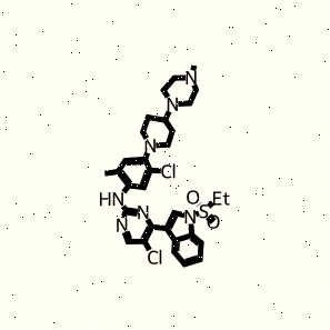 CCS(=O)(=O)n1cc(-c2nc(Nc3cc(Cl)c(N4CCC(N5CCN(C)CC5)CC4)cc3C)ncc2Cl)c2ccccc21